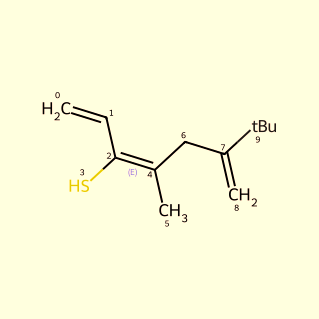 C=C/C(S)=C(/C)CC(=C)C(C)(C)C